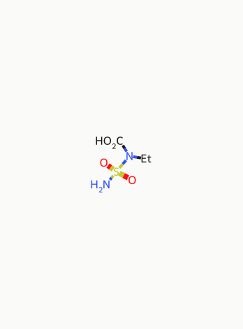 CCN(C(=O)O)S(N)(=O)=O